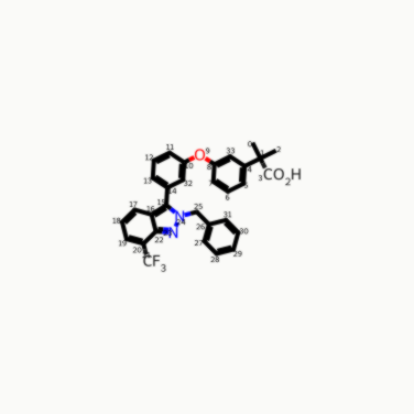 CC(C)(C(=O)O)c1cccc(Oc2cccc(-c3c4cccc(C(F)(F)F)c4nn3Cc3ccccc3)c2)c1